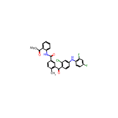 COC(=O)c1ccccc1NC(=O)c1ccc(C)c(C(=O)c2ccc(Nc3ccc(F)cc3F)cc2Cl)c1